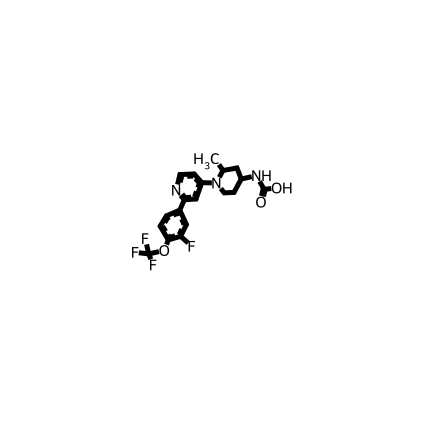 CC1CC(NC(=O)O)CCN1c1ccnc(-c2ccc(OC(F)(F)F)c(F)c2)c1